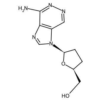 Nc1nncc2c1ncn2[C@H]1CC[C@@H](CO)O1